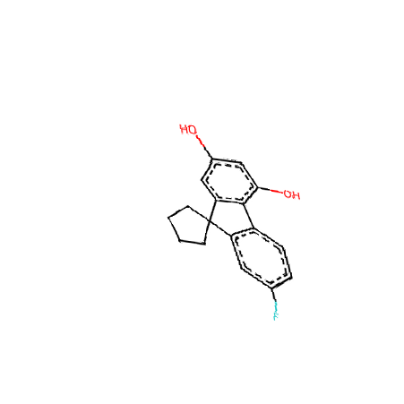 Oc1cc(O)c2c(c1)C1(CCCC1)c1cc(F)ccc1-2